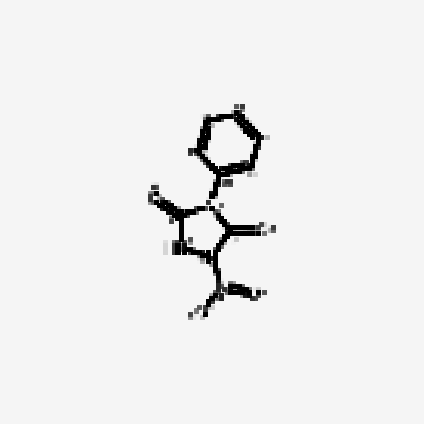 O=c1[nH]n([N+](=O)[O-])c(=O)n1-c1ccccc1